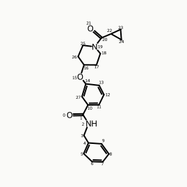 O=C(NCc1ccccc1)c1cccc(OC2CCN(C(=O)C3CC3)CC2)c1